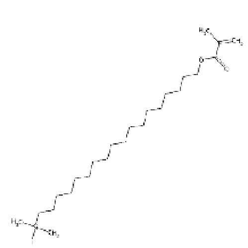 C=C(C)C(=O)OCCCCCCCCCCCCCCCCCC[Si](C)(C)I